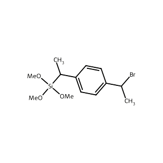 CO[Si](OC)(OC)C(C)c1ccc(C(C)Br)cc1